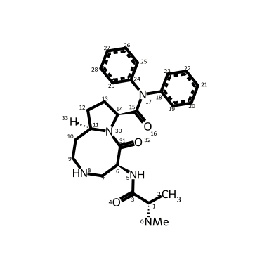 CN[C@@H](C)C(=O)N[C@H]1CNCC[C@H]2CC[C@@H](C(=O)N(c3ccccc3)c3ccccc3)N2C1=O